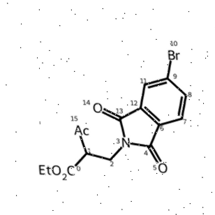 CCOC(=O)C(CN1C(=O)c2ccc(Br)cc2C1=O)C(C)=O